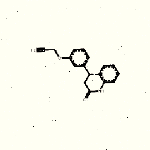 C#CCOc1cccc(C2CC(=O)Nc3ccccc32)c1